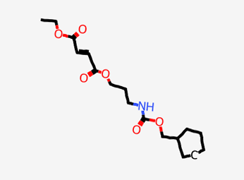 CCOC(=O)/C=C/C(=O)OCCCNC(=O)OCC1CCCCC1